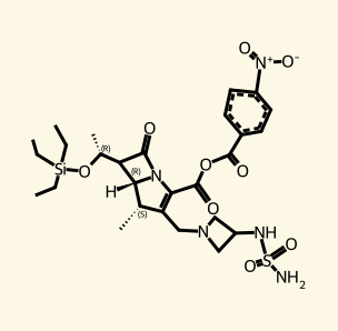 CC[Si](CC)(CC)O[C@H](C)C1C(=O)N2C(C(=O)OC(=O)c3ccc([N+](=O)[O-])cc3)=C(CN3CC(NS(N)(=O)=O)C3)[C@H](C)[C@H]12